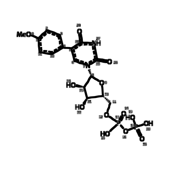 COc1ccc(-c2cn([C@@H]3O[C@H](COP(=O)(O)OP(=O)(O)O)[C@@H](O)[C@H]3O)c(=O)[nH]c2=O)cc1